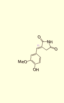 COc1cc(/C=C2\CC(=O)NC2=O)ccc1O